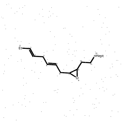 CCC=CCC=CCC1OC1CCCCCCCCC